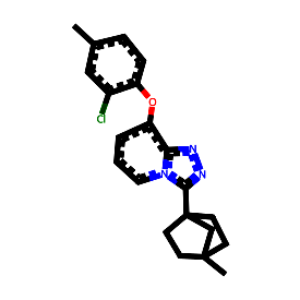 Cc1ccc(Oc2cccn3c(C45CCC(C)(CC4)C5)nnc23)c(Cl)c1